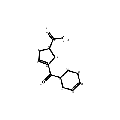 CC(=O)C1CC=C(C(=O)C2CC=CCC2)C1